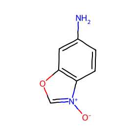 Nc1ccc2c(c1)oc[n+]2[O-]